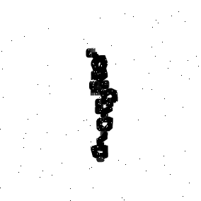 O=C(CN1CCC[C@H](NS(=O)(=O)c2cc3ccc(Cl)cc3s2)C1=O)N1CCN(CCN2CCOCC2)CC1